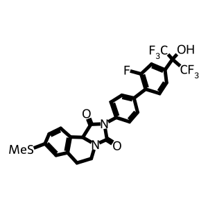 CSc1ccc2c(c1)CCN1C(=O)N(c3ccc(-c4ccc(C(O)(C(F)(F)F)C(F)(F)F)cc4F)cc3)C(=O)C21